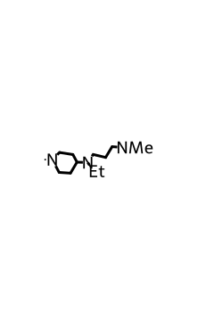 CCN(CCCNC)C1CC[N]CC1